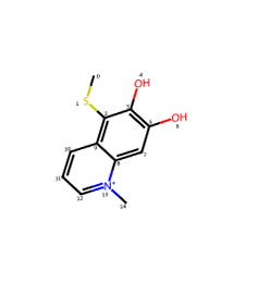 CSc1c(O)c(O)cc2c1ccc[n+]2C